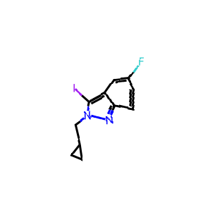 Fc1ccc2nn(CC3CC3)c(I)c2c1